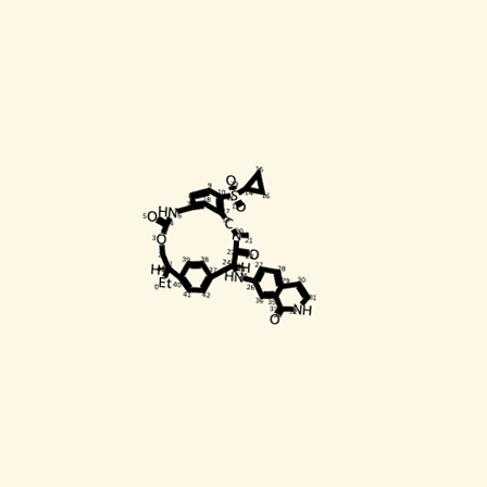 CC[C@H]1COC(=O)Nc2ccc(S(=O)(=O)C3CC3)c(c2)CN(C)C(=O)[C@H](Nc2ccc3cc[nH]c(=O)c3c2)c2ccc1cc2